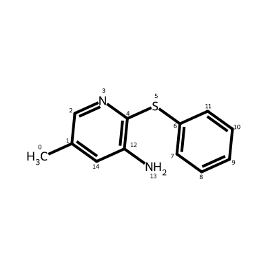 Cc1cnc(Sc2ccccc2)c(N)c1